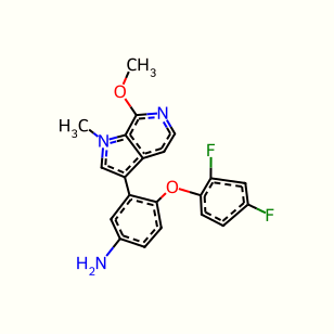 COc1nccc2c(-c3cc(N)ccc3Oc3ccc(F)cc3F)cn(C)c12